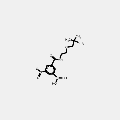 CC(C)(C)COCCNC(=O)c1cc(B(O)O)cc([N+](=O)[O-])c1